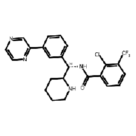 O=C(N[C@@H](c1cccc(-c2cnccn2)c1)C1CCCCN1)c1cccc(C(F)(F)F)c1Cl